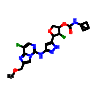 COCc1cn2c(Nc3cc([C@H]4OC[C@@H](OC(=O)NC56CC(C5)C6)[C@H]4F)[nH]n3)ncc(F)c2n1